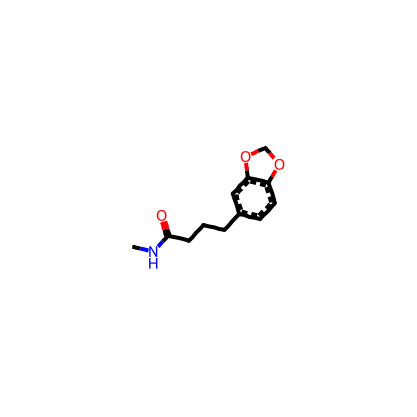 CNC(=O)CCCc1ccc2c(c1)OCO2